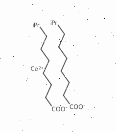 CC(C)CCCCCCC(=O)[O-].CC(C)CCCCCCC(=O)[O-].[Co+2]